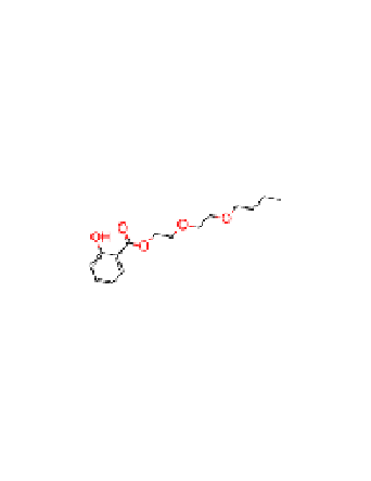 CCCCOCCOCCOC(=O)c1ccccc1O